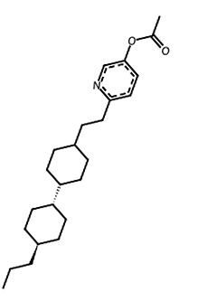 CCC[C@H]1CC[C@H](C2CCC(CCc3ccc(OC(C)=O)cn3)CC2)CC1